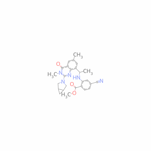 COC(=O)c1ccc(C#N)cc1NC(C)c1cc(C)cc2c(=O)n(C)c(N3CC4CC4C3)nc12